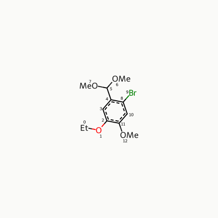 CCOc1cc(C(OC)OC)c(Br)cc1OC